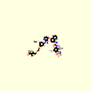 COC(=O)c1csc(COCCOc2cc(Nc3cc(Oc4ccc(NC(=O)Nc5cc(C(C)(C)C)cc(NS(C)(=O)=O)c5OC)c5ccccc45)ccn3)cc(OC)c2)c1